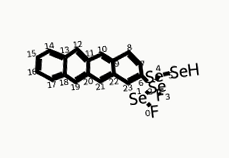 F[Se][Se](F)([Se][SeH])c1ccc2cc3cc4ccccc4cc3cc2c1